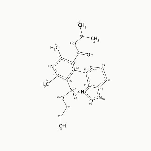 Cc1nc(C)c(C(=O)OC(C)C)c(-c2cccc3nonc23)c1C(=O)OCCO